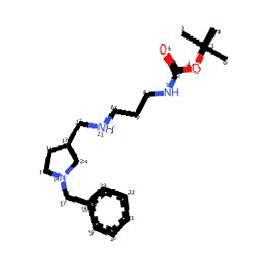 CC(C)(C)OC(=O)NCCCNCC1CCN(Cc2ccccc2)C1